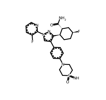 N=S1(=O)CCN(c2ccc(-c3cn(-c4ncccc4F)nc3[C@@H]3CC[C@H](F)C[C@H]3C(N)=O)cc2)CC1